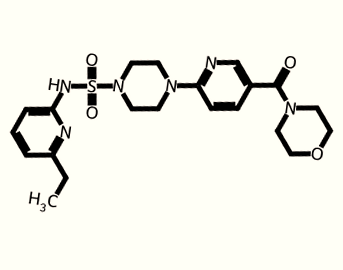 CCc1cccc(NS(=O)(=O)N2CCN(c3ccc(C(=O)N4CCOCC4)cn3)CC2)n1